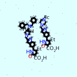 CCc1cc(C(=O)O)c(=O)[nH]c1-c1ccc2c(c1)cc(CN1CCN(C(C)=O)CC1)n2C.CCc1cc(C(=O)O)c(=O)[nH]c1-c1ccc2c(c1)cc(CN1C[C@@H]3C(N(Cc4ccccc4)Cc4ccccc4)[C@@H]3C1)n2C